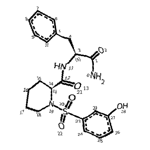 NC(=O)[C@H](Cc1ccccc1)NC(=O)[C@@H]1CCCCN1S(=O)(=O)c1cccc(O)c1